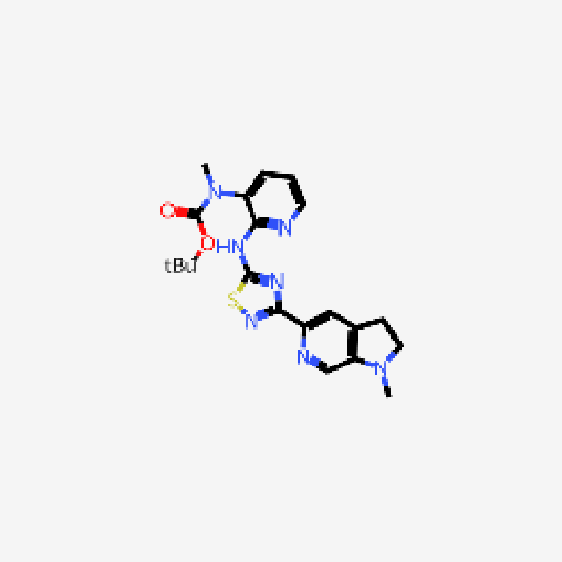 CN1CCc2cc(-c3nsc(Nc4ncccc4N(C)C(=O)OC(C)(C)C)n3)ncc21